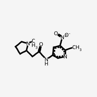 Cc1ncc(NC(=O)CC2CCCN2C)cc1[N+](=O)[O-]